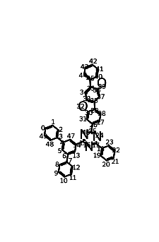 c1ccc(-c2cc(-c3ccccc3)cc(-c3nc(-c4ccccc4)nc(-c4ccc5c(c4)oc4cc6c(cc45)oc4ccccc46)n3)c2)cc1